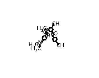 C#Cc1ccc(NC(=O)c2cc(C#C)cc(OC)c2NC(=O)c2ccc(C=NN(C)CC)cc2)cc1